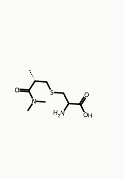 C[C@H](CSCC(N)C(=O)O)C(=O)N(C)C